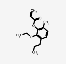 C=CC(=O)Oc1c(C)ccc(CCC)c1OCC